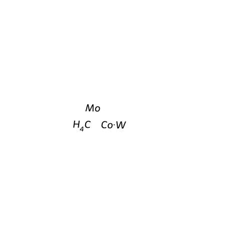 C.[Co].[Mo].[W]